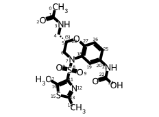 CC(=O)NC[C@H]1CN(S(=O)(=O)c2nc(C)sc2C)c2cc(NC(=O)O)ccc2O1